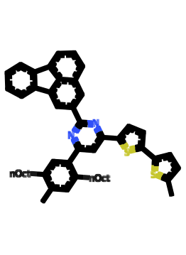 CCCCCCCCc1cc(-c2cc(-c3ccc(-c4ccc(C)s4)s3)nc(-c3cc4c5c(cccc5c3)-c3ccccc3-4)n2)c(CCCCCCCC)cc1C